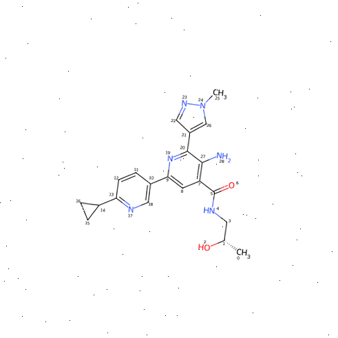 C[C@H](O)CNC(=O)c1cc(-c2ccc(C3CC3)nc2)nc(-c2cnn(C)c2)c1N